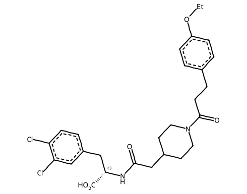 CCOc1ccc(CCC(=O)N2CCC(CC(=O)N[C@@H](Cc3ccc(Cl)c(Cl)c3)C(=O)O)CC2)cc1